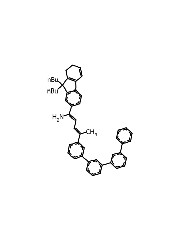 CCCCC1(CCCC)C2=C(C=CCC2)c2ccc(/C(N)=C/C=C(\C)c3cccc(-c4cccc(-c5cccc(-c6ccccc6)c5)c4)c3)cc21